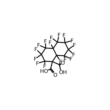 O=C(O)C1(C(=O)O)C(F)(F)C(F)(F)C(F)(F)C2(F)C(F)(F)C(F)(F)C(F)(F)C(F)(F)C12F